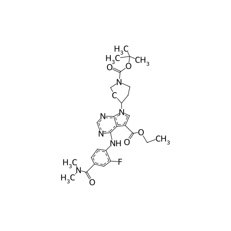 CCOC(=O)c1cn(C2CCN(C(=O)OC(C)(C)C)CC2)c2ncnc(Nc3ccc(C(=O)N(C)C)cc3F)c12